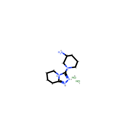 Cl.Cl.NC1CCCN(c2nnc3n2CCCC3)C1